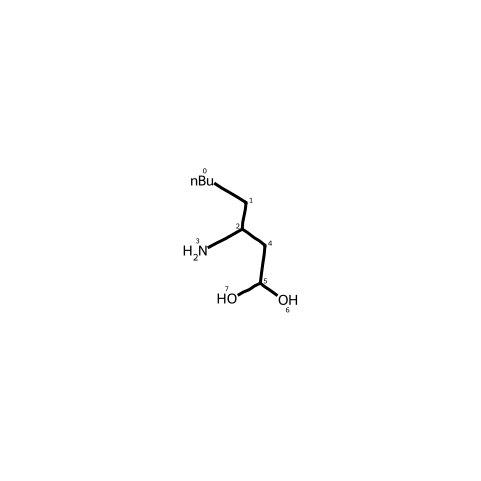 CCCCCC(N)CC(O)O